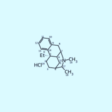 CC[C@@]12CCC3CC1C(Cc1ccccc12)N(C)C3C.Cl